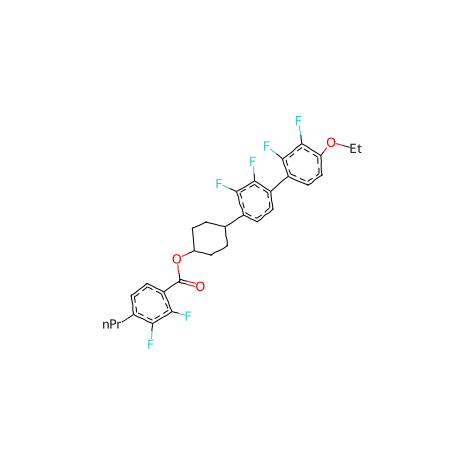 CCCc1ccc(C(=O)OC2CCC(c3ccc(-c4ccc(OCC)c(F)c4F)c(F)c3F)CC2)c(F)c1F